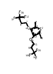 Cc1sc(C)c(OCCC(F)(F)F)c1OCCC(F)(F)F